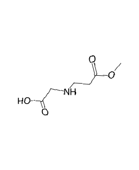 COC(=O)CCNCC(=O)O